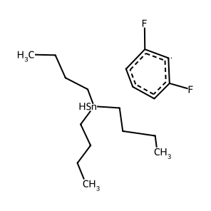 CCC[CH2][SnH]([CH2]CCC)[CH2]CCC.Fc1[c]c(F)ccc1